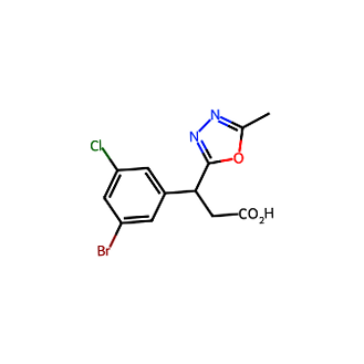 Cc1nnc(C(CC(=O)O)c2cc(Cl)cc(Br)c2)o1